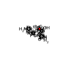 CC(C)(C)[Si](C)(C)OC1[C@@H](CO)OC[C@@]1(OP(O)(=S)OC[C@H]1O[C@@H](n2nnc3c(N)ncnc32)[C@@H](F)[C@@H]1O)n1cnc2c(=O)[nH]c(N)nc21